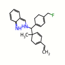 C=CC1=CCC(C)(C(N/C=C2/C=CC=CC2=N)C2=CC=C(CF)CC2)C=C1